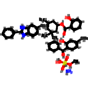 CC1CC(OC(=O)c2ccccc2O)CC(C)(C)C1.COS(=O)(=O)O.COc1ccc(C(=O)c2ccccc2)c(O)c1.N.O=S(=O)(O)c1ccc2nc(-c3ccccc3)[nH]c2c1